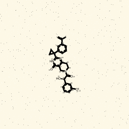 C=C(C)c1cccc(C2(c3nc4c(c(=O)[nH]3)CN(C(=O)[C@H](O)c3cccc(C(F)(F)F)c3)CC4)CC2)c1